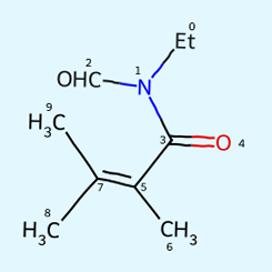 CCN(C=O)C(=O)C(C)=C(C)C